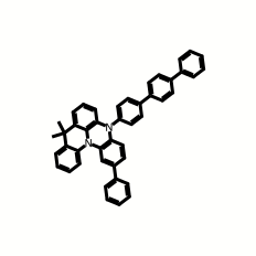 CC1(C)c2ccccc2N2c3cc(-c4ccccc4)ccc3N(c3ccc(-c4ccc(-c5ccccc5)cc4)cc3)c3cccc1c32